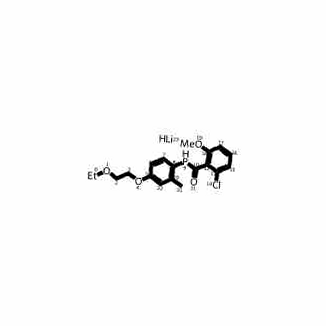 CCOCCOc1ccc(PC(=O)c2c(Cl)cccc2OC)c(C)c1.[LiH]